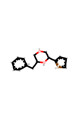 [c]1ccc(C2COCC(Cc3ccccc3)O2)s1